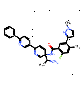 CC(N)C1(NC(=O)c2cc(-c3ccn(C)n3)c(C(F)(F)F)cc2F)C=CC(c2ccc(-c3ccccc3)nc2)N=C1